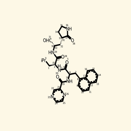 CC(C)C[C@H](NC(=O)C(Cc1cccc2ccccc12)NC(=O)c1cnccn1)C(=O)N[C@H](C=O)C[C@@H]1CCNC1=O